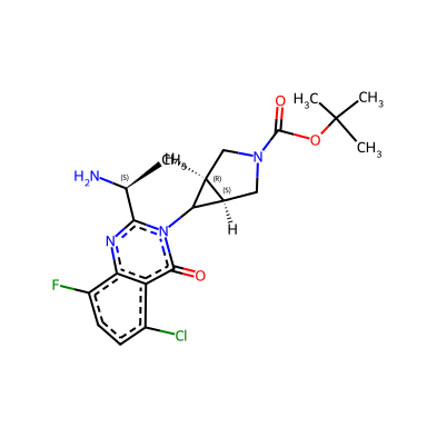 C[C@H](N)c1nc2c(F)ccc(Cl)c2c(=O)n1C1[C@H]2CN(C(=O)OC(C)(C)C)C[C@@H]12